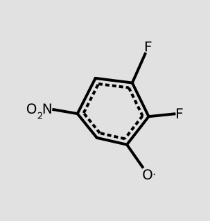 [O]c1cc([N+](=O)[O-])cc(F)c1F